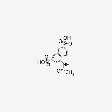 CC(=O)Nc1cc(S(=O)(=O)O)cc2c1C=C=C(S(=O)(=O)O)C2